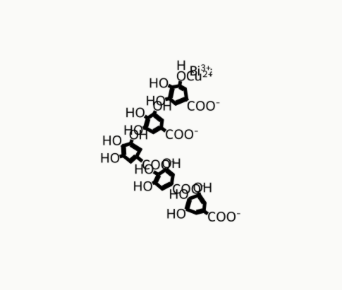 O=C([O-])c1cc(O)c(O)c(O)c1.O=C([O-])c1cc(O)c(O)c(O)c1.O=C([O-])c1cc(O)c(O)c(O)c1.O=C([O-])c1cc(O)c(O)c(O)c1.O=C([O-])c1cc(O)c(O)c(O)c1.[Bi+3].[Cu+2]